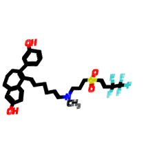 CN(CCCCCCC1=C(c2cccc(O)c2)CCCc2cc(O)ccc21)CCCS(=O)(=O)CCC(F)(F)C(F)(F)F